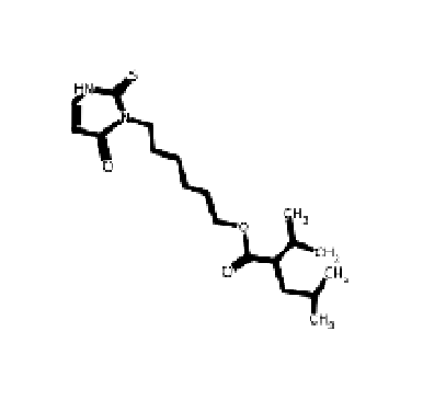 CC(C)CC(C(=O)OCCCCCCn1c(=O)cc[nH]c1=S)C(C)C